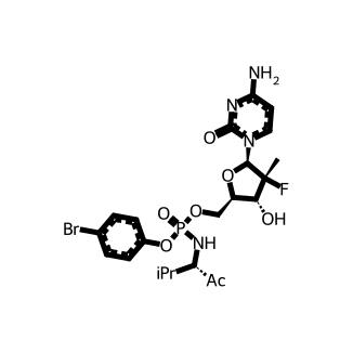 CC(=O)[C@@H](NP(=O)(OC[C@H]1O[C@@H](n2ccc(N)nc2=O)[C@](C)(F)[C@@H]1O)Oc1ccc(Br)cc1)C(C)C